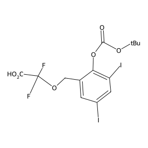 CC(C)(C)OC(=O)Oc1c(I)cc(I)cc1COC(F)(F)C(=O)O